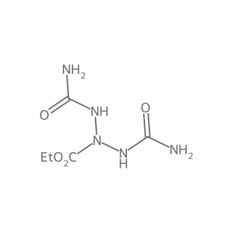 CCOC(=O)N(NC(N)=O)NC(N)=O